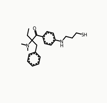 CCC(Cc1ccccc1)(C(=O)c1ccc(NCCCS)cc1)N(C)C